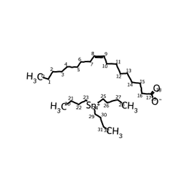 CCCCCCCC/C=C\CCCCCCCC(=O)[O-].CCC[CH2][Sn+]([CH2]CCC)[CH2]CCC